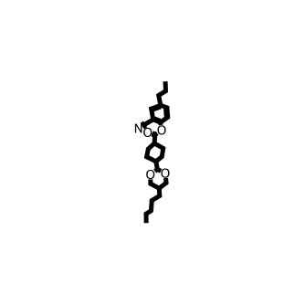 CCCCCC1COC(C2CCC(C(=O)Oc3ccc(CCC)cc3C#N)CC2)OC1